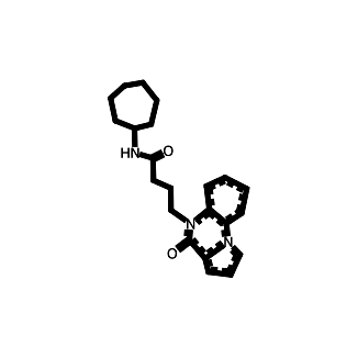 O=C(CCCn1c(=O)c2cccn2c2ccccc21)NC1CCCCCC1